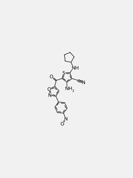 N#Cc1c(NC2CCCC2)sc(C(=O)c2cc(-c3ccc(N=O)cc3)no2)c1N